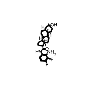 C[C@@]1(O)CC[C@@]2(C)[C@@H](CC[C@@H]3[C@@H]2CC[C@]2(C)[C@@H](C(=O)Nc4ccc(F)c(F)c4N)CC[C@@H]32)C1